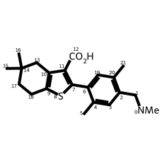 CNCc1cc(C)c(-c2sc3c(c2C(=O)O)CC(C)(C)CC3)cc1C